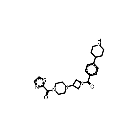 O=C(c1ccc(C2CCNCC2)cc1)N1CC(N2CCN(C(=O)c3nccs3)CC2)C1